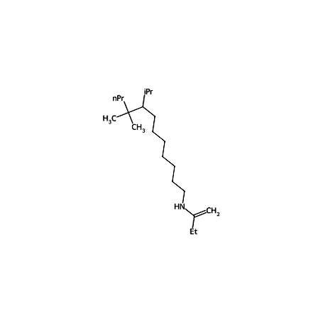 C=C(CC)NCCCCCCCC(C(C)C)C(C)(C)CCC